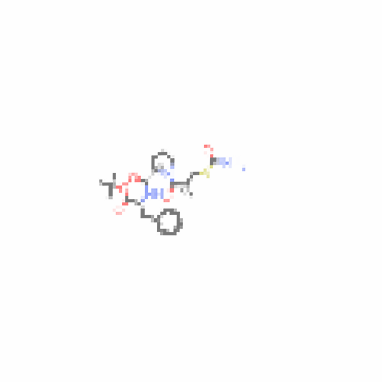 C[C@H](CSC(N)=O)C(=O)N1CCC[C@H]1C(=O)NC(Cc1ccccc1)C(=O)OC(C)(C)C